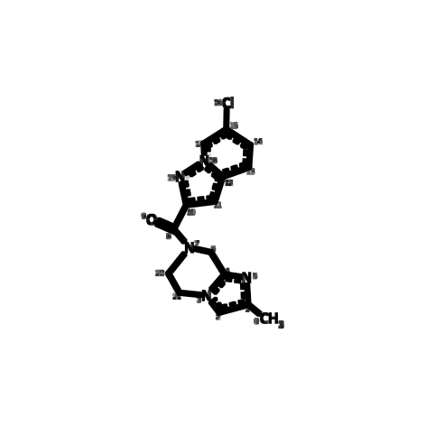 Cc1cn2c(n1)CN(C(=O)c1cc3ccc(Cl)cn3n1)CC2